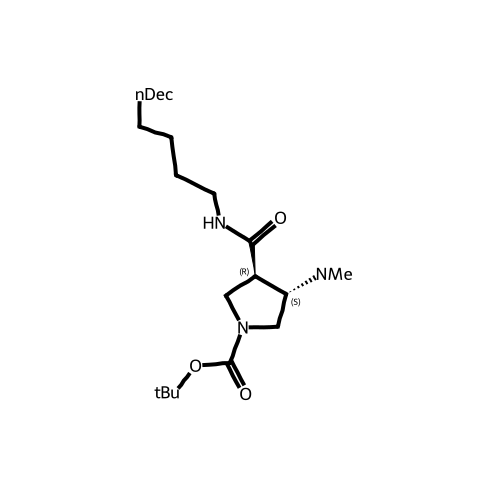 CCCCCCCCCCCCCCNC(=O)[C@@H]1CN(C(=O)OC(C)(C)C)C[C@H]1NC